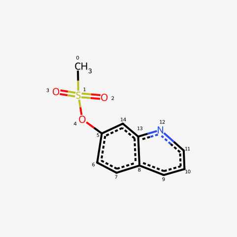 CS(=O)(=O)Oc1ccc2cccnc2c1